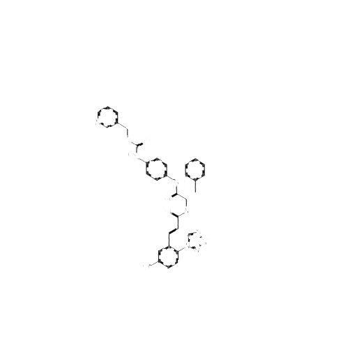 O=C(/C=C/c1cc(Cl)ccc1-n1cnnn1)N[C@@H](Cc1ccccc1)C(=O)Nc1ccc(NC(=O)OCc2cccnc2)cc1